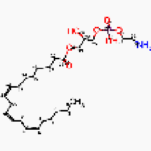 CCCCC/C=C\C/C=C\C/C=C\CCCCCCC(=O)OC[C@@H](O)COP(=O)(O)OCCN